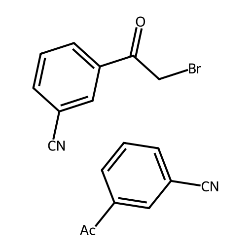 CC(=O)c1cccc(C#N)c1.N#Cc1cccc(C(=O)CBr)c1